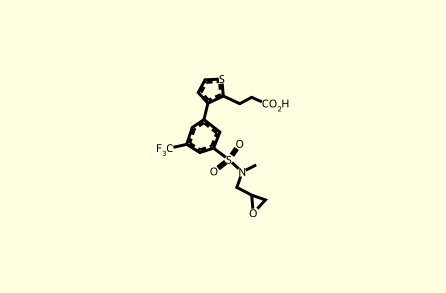 CN(CC1CO1)S(=O)(=O)c1cc(-c2ccsc2CCC(=O)O)cc(C(F)(F)F)c1